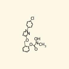 CN(O)C(=O)Oc1ccccc1COc1ccn(-c2ccc(Cl)cc2)n1